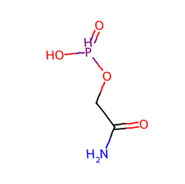 NC(=O)CO[PH](=O)O